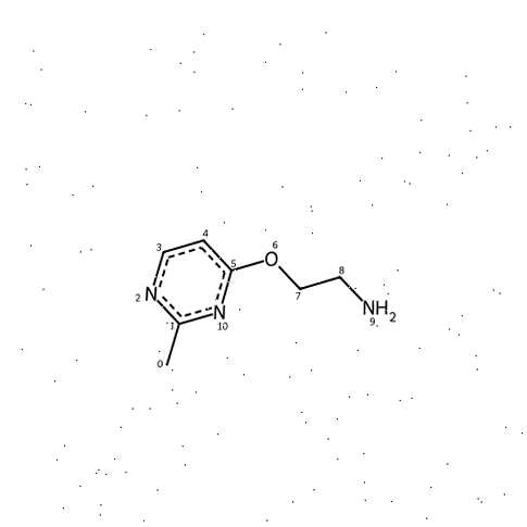 Cc1nccc(OCCN)n1